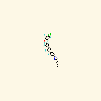 CCCCCc1cnc(-c2ccc(-c3ccc(-c4cc(F)c(C(F)(F)Oc5cc(F)c(Cl)c(F)c5)c(F)c4)c(F)c3)c(F)c2)nc1